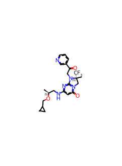 C[C@@H](CNc1cc(=O)n2c(n1)N(CC(=O)c1cccnc1)[C@](C)(C(F)(F)F)C2)OCC1CC1